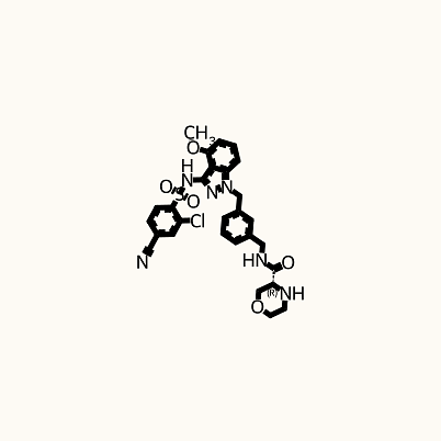 COc1cccc2c1c(NS(=O)(=O)c1ccc(C#N)cc1Cl)nn2Cc1cccc(CNC(=O)[C@H]2COCCN2)c1